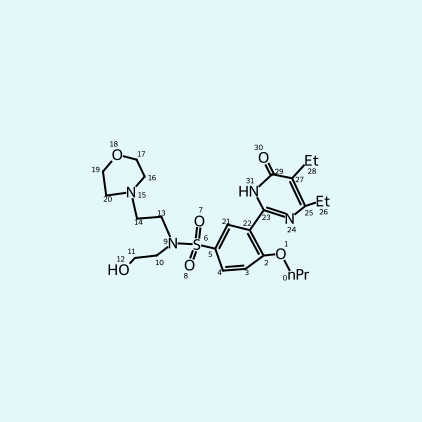 CCCOc1ccc(S(=O)(=O)N(CCO)CCN2CCOCC2)cc1-c1nc(CC)c(CC)c(=O)[nH]1